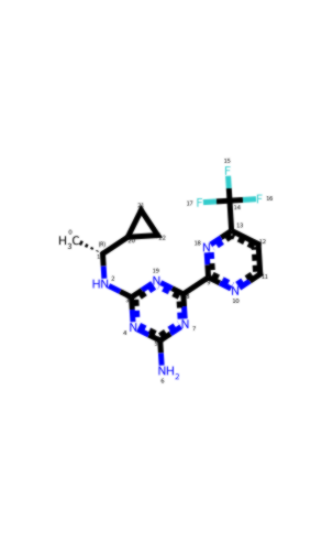 C[C@@H](Nc1nc(N)nc(-c2nccc(C(F)(F)F)n2)n1)C1CC1